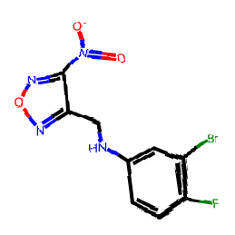 O=[N+]([O-])c1nonc1CNc1ccc(F)c(Br)c1